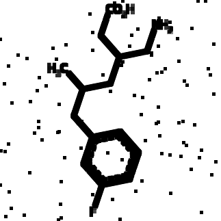 CC(Cc1cccc(F)c1)CC(CN)CC(=O)O